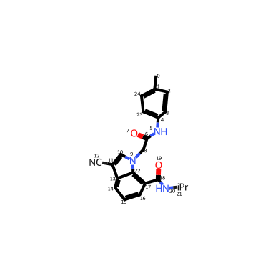 Cc1ccc(NC(=O)Cn2cc(C#N)c3cccc(C(=O)NC(C)C)c32)cc1